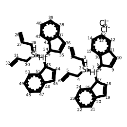 C=CC[SiH](CC=C)[Hf+]([CH]1C=Cc2ccccc21)[CH]1C=Cc2ccccc21.C=CC[SiH](CC=C)[Hf+]([CH]1C=Cc2ccccc21)[CH]1C=Cc2ccccc21.[Cl-].[Cl-]